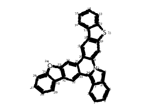 c1ccc2c(c1)cn1c3cc4sc5ccccc5c4cc3c3cc4oc5ccccc5c4cc3c21